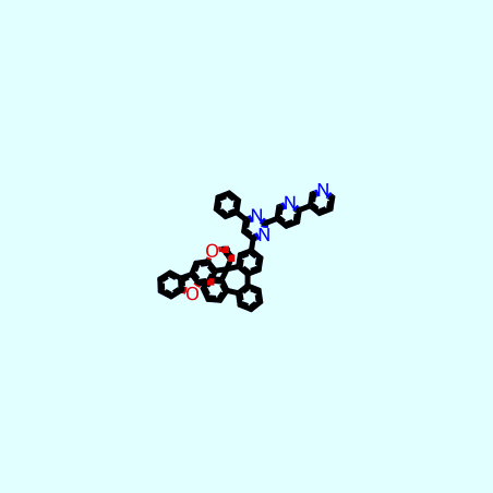 c1ccc(-c2cc(-c3ccc4c(c3)C3(c5ccccc5Oc5cc6c(cc53)oc3ccccc36)c3ccccc3-c3ccccc3-4)nc(-c3ccc(-c4cccnc4)nc3)n2)cc1